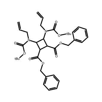 C=CCN(C(=O)OC(C)(C)C)C1C(C(=O)OCc2ccccc2)C(C(=O)OCc2ccccc2)C1N(CC=C)C(=O)OC(C)(C)C